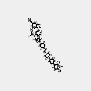 CC(C#N)Nc1cc(-n2ncc3cc(C#N)cnc32)ncc1-n1cc([C@H]2CC[C@H](CCN3CCN(c4ccc(C5CCC(=O)NC5=O)cc4)CC3)CC2)nn1